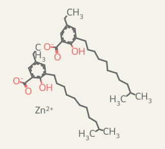 CCc1cc(CCCCCCCCCC(C)C)c(O)c(C(=O)[O-])c1.CCc1cc(CCCCCCCCCC(C)C)c(O)c(C(=O)[O-])c1.[Zn+2]